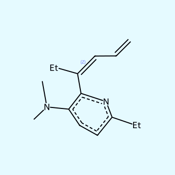 C=C/C=C(/CC)c1nc(CC)ccc1N(C)C